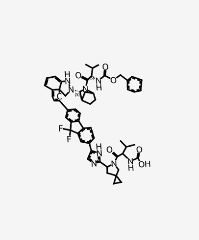 CC(C)C(NC(=O)O)C(=O)N1CC2(CC2)CC1c1ncc(-c2ccc3c(c2)C(F)(F)c2cc(C4=CC=C5C=CC=C6NN([C@H]7C8CCC(C8)N7C(=O)[C@@H](NC(=O)OCc7ccccc7)C(C)C)CC56C4)ccc2-3)[nH]1